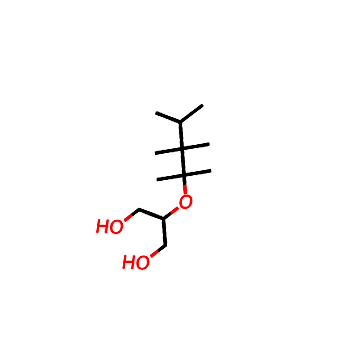 CC(C)C(C)(C)C(C)(C)OC(CO)CO